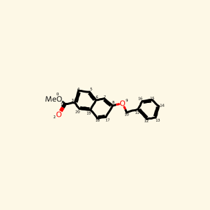 COC(=O)c1ccc2cc(OCc3ccccc3)ccc2c1